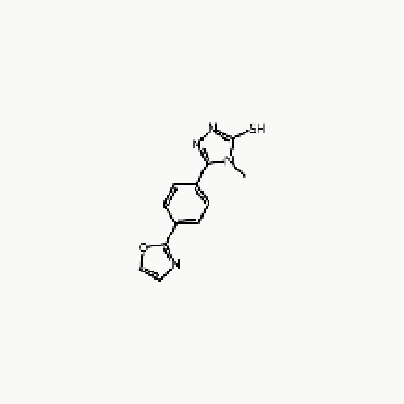 Cn1c(S)nnc1-c1ccc(-c2ncco2)cc1